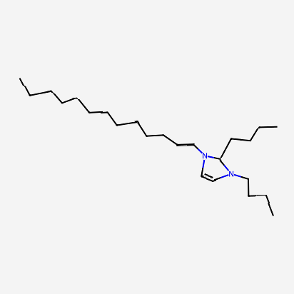 CCCCCCCCCCCCCN1C=CN(CCCC)C1CCCC